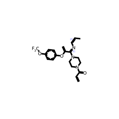 C=CC(=O)N1CCN(/C(=N/C=C\C)C(=C)Oc2ccc(OC(F)(F)F)cc2)CC1